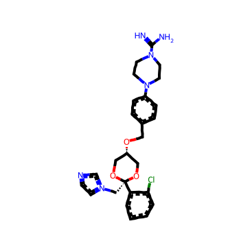 N=C(N)N1CCN(c2ccc(CO[C@H]3CO[C@](Cn4ccnc4)(c4ccccc4Cl)OC3)cc2)CC1